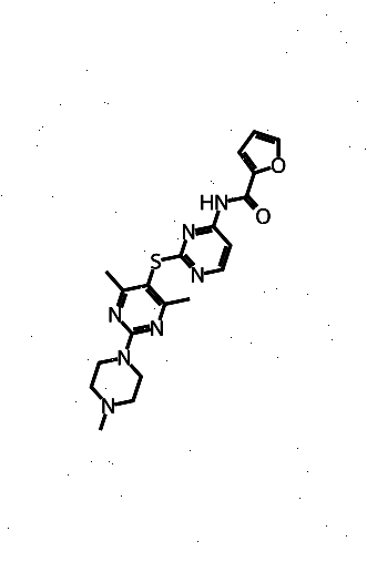 Cc1nc(N2CCN(C)CC2)nc(C)c1Sc1nccc(NC(=O)c2ccco2)n1